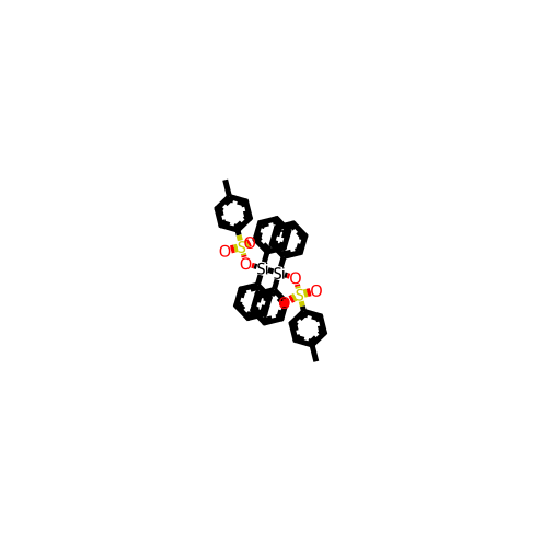 Cc1ccc(S(=O)(=O)O[Si](c2ccccc2)(c2ccccc2)[Si](OS(=O)(=O)c2ccc(C)cc2)(c2ccccc2)c2ccccc2)cc1